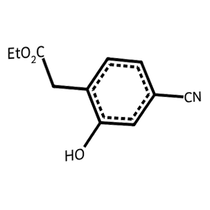 CCOC(=O)Cc1ccc(C#N)cc1O